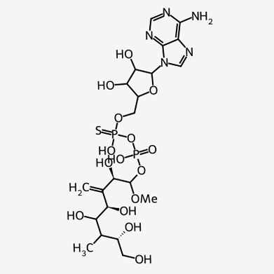 C=C([C@@H](O)C(OC)OP(=O)(O)OP(O)(=S)OCC1OC(n2cnc3c(N)ncnc32)C(O)C1O)[C@@H](O)C(O)C(C)[C@H](O)CO